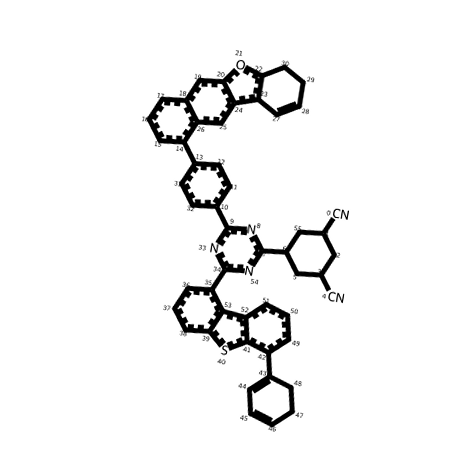 N#CC1CC(C#N)CC(c2nc(-c3ccc(-c4cccc5cc6oc7c(c6cc45)C=CCC7)cc3)nc(-c3cccc4sc5c(C6=CC=CCC6)cccc5c34)n2)C1